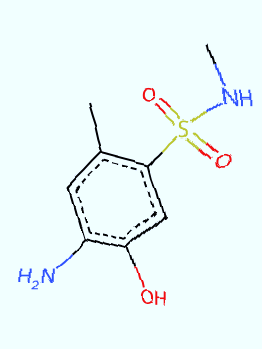 CNS(=O)(=O)c1cc(O)c(N)cc1C